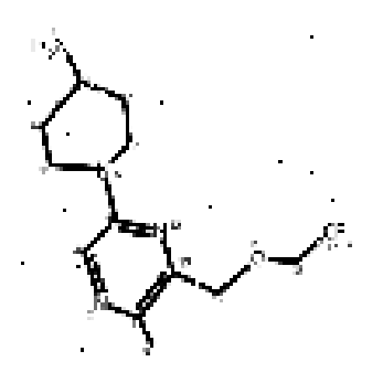 Cc1ncc(N2CCC(N)CC2)nc1COCC(F)(F)F